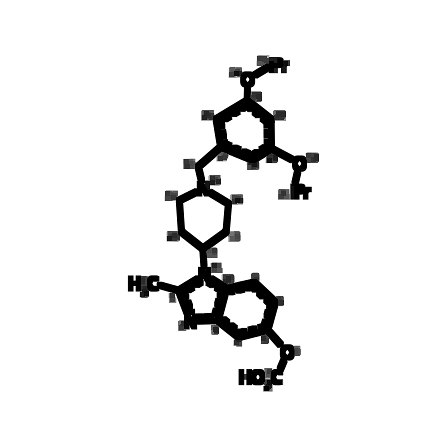 Cc1nc2cc(OC(=O)O)ccc2n1C1CCN(Cc2cc(OC(C)C)cc(OC(C)C)c2)CC1